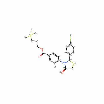 Cc1cc(C(=O)OCCCS(C)(C)C)ccc1N1C(=O)CSC1c1ccc(F)cc1